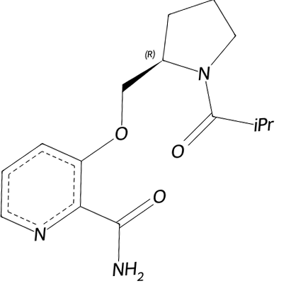 CC(C)C(=O)N1CCC[C@@H]1COc1cccnc1C(N)=O